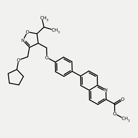 COC(=O)c1ccc2cc(-c3ccc(OCC4C(COC5CCCC5)=NOC4C(C)C)cc3)ccc2n1